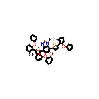 FC(F)(F)c1cccc(Oc2ccccc2)c1-c1ccc(-c2c(Oc3ccccc3)c(Oc3ccccc3)c(-c3ccc(-c4c(Oc5ccccc5)cccc4C(F)(F)F)s3)c3nsnc23)s1